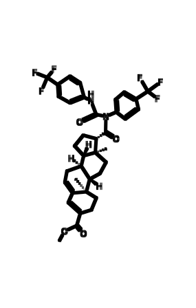 COC(=O)C1=CC2=CC[C@H]3[C@@H]4CC[C@H](C(=O)N(C(=O)Nc5ccc(C(F)(F)F)cc5)c5ccc(C(F)(F)F)cc5)[C@@]4(C)CC[C@@H]3[C@@]2(C)CC1